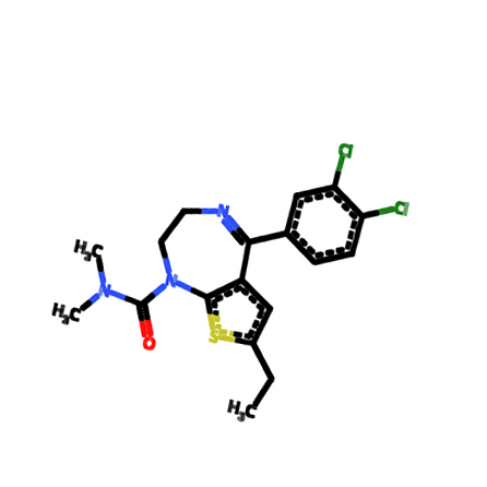 CCc1cc2c(s1)N(C(=O)N(C)C)CCN=C2c1ccc(Cl)c(Cl)c1